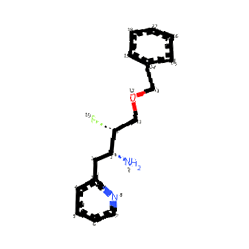 N[C@H](Cc1ccccn1)[C@H](F)COCc1ccccc1